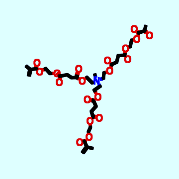 C=C(C)C(=O)OCCOC(=O)CCC(=O)OCC[N+](C)(CCOC(=O)CCC(=O)OCCOC(=O)C(=C)C)CCOC(=O)CCC(=O)OCCOC(=O)C(C)=O